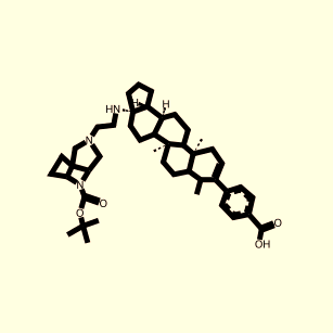 CC1C(c2ccc(C(=O)O)cc2)=CC[C@@]2(C)C1CC[C@@]1(C)C3CC[C@@]4(NCCN5CC6N(C(=O)OC(C)(C)C)C7CCC76C5)CCC[C@@H]4[C@H]3CCC21